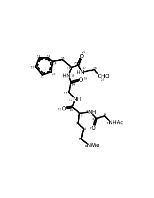 CNCCCC(NC(=O)CNC(C)=O)C(=O)NCC(=O)NC(Cc1ccccc1)C(=O)NCC=O